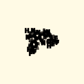 N#Cc1c(N)nc(-c2cnn(C[C@H](O)C(F)(F)F)c2)c(C#N)c1-c1ccc(C(F)(F)F)cc1